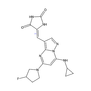 O=C1NC(=O)/C(=C/c2cnn3c(NC4CC4)cc(N4CCC(F)C4)nc23)N1